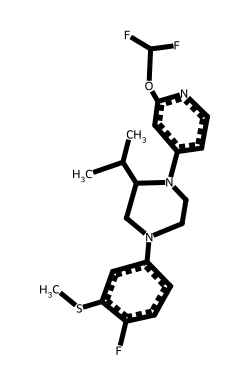 CSc1cc(N2CCN(c3ccnc(OC(F)F)c3)C(C(C)C)C2)ccc1F